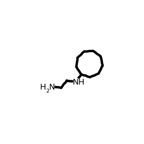 NCCNC1CCCCCCCC1